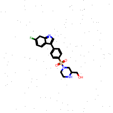 O=S(=O)(c1ccc(C2=CN=C3CC(F)=CC=C23)cc1)N1CCNC(CO)C1